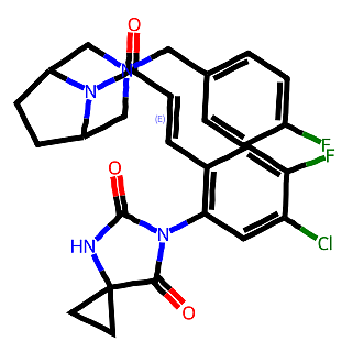 O=C1NC2(CC2)C(=O)N1c1cc(Cl)c(F)cc1/C=C/C(=O)N1C2CCC1CN(Cc1ccc(F)cc1)C2